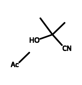 CC(C)(O)C#N.CC(C)=O